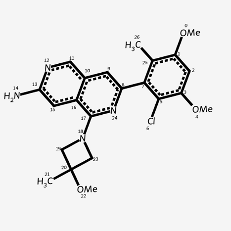 COc1cc(OC)c(Cl)c(-c2cc3cnc(N)cc3c(N3CC(C)(OC)C3)n2)c1C